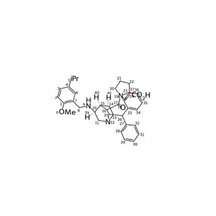 COc1ccc(C(C)C)cc1CN[C@@H]1CN2CC[C@H]1[C@@H](C(=O)N1CCCC1C(=O)O)C2C(c1ccccc1)c1ccccc1